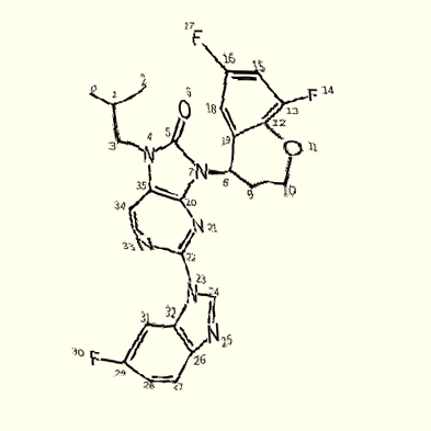 CC(C)Cn1c(=O)n([C@@H]2CCOc3c(F)cc(F)cc32)c2nc(-n3cnc4ccc(F)cc43)ncc21